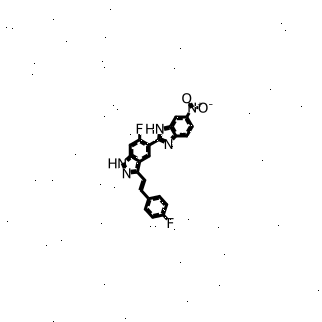 O=[N+]([O-])c1ccc2nc(-c3cc4c(C=Cc5ccc(F)cc5)n[nH]c4cc3F)[nH]c2c1